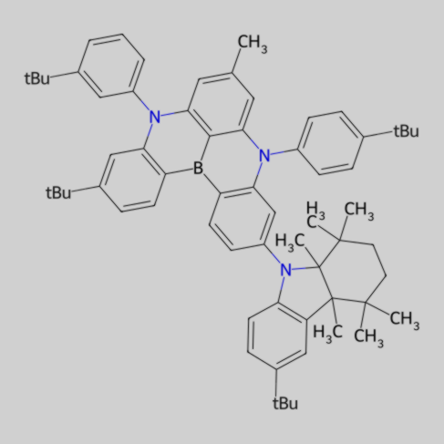 Cc1cc2c3c(c1)N(c1cccc(C(C)(C)C)c1)c1cc(C(C)(C)C)ccc1B3c1ccc(N3c4ccc(C(C)(C)C)cc4C4(C)C(C)(C)CCC(C)(C)C34C)cc1N2c1ccc(C(C)(C)C)cc1